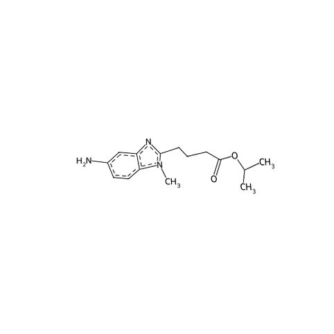 CC(C)OC(=O)CCCc1nc2cc(N)ccc2n1C